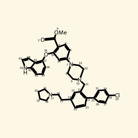 COC(=O)c1ccc(N2CCN(Cc3cc(CCN4CCCC4)ccc3-c3ccc(Cl)cc3)CC2)cc1Oc1cccc2[nH]ccc12